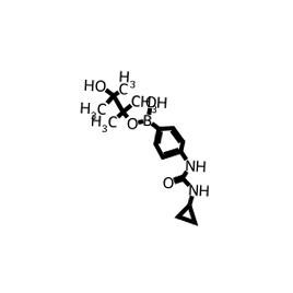 CC(C)(O)C(C)(C)OB(O)c1ccc(NC(=O)NC2CC2)cc1